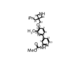 COC(=O)Nc1cc(-c2ccc(OCC3(CC(C)C)CNC3)c(C)n2)ccn1